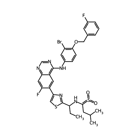 CCC(NC(CC(C)C)=S(=O)=O)c1nc(-c2cc3c(Nc4ccc(OCc5cccc(F)c5)c(Br)c4)ncnc3cc2F)cs1